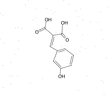 O=C(O)C(=Cc1cccc(O)c1)C(=O)O